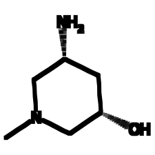 CN1C[C@H](N)C[C@H](O)C1